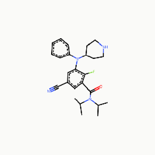 CC(C)N(C(=O)c1cc(C#N)cc(N(c2ccccc2)C2CCNCC2)c1F)C(C)C